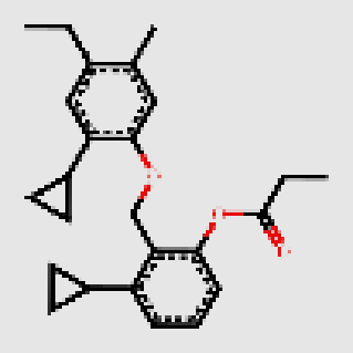 CCC(=O)Oc1cccc(C2CC2)c1COc1cc(C)c(CC)cc1C1CC1